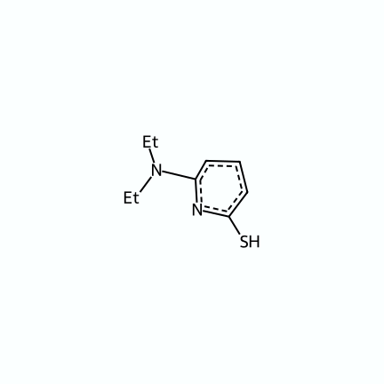 CCN(CC)c1cccc(S)n1